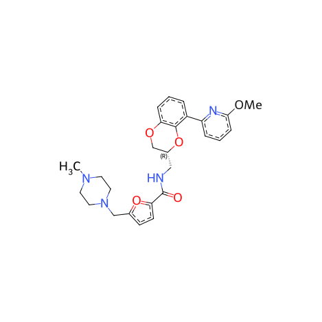 COc1cccc(-c2cccc3c2O[C@H](CNC(=O)c2ccc(CN4CCN(C)CC4)o2)CO3)n1